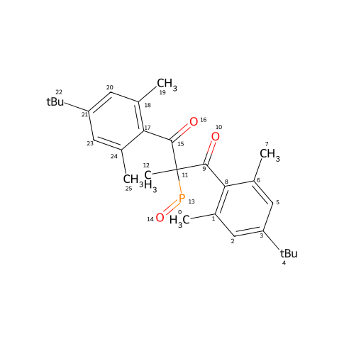 Cc1cc(C(C)(C)C)cc(C)c1C(=O)C(C)(P=O)C(=O)c1c(C)cc(C(C)(C)C)cc1C